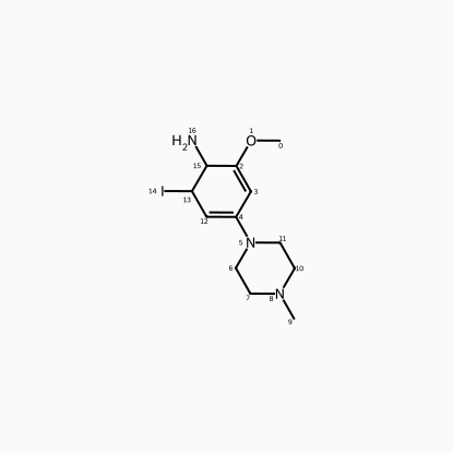 COC1=CC(N2CCN(C)CC2)=CC(I)C1N